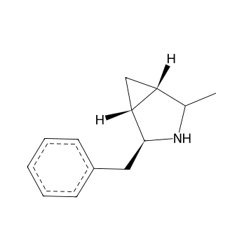 CC1N[C@@H](Cc2ccccc2)[C@@H]2C[C@H]12